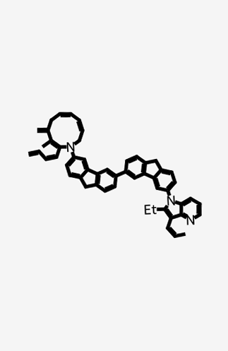 C=C/C=C\C1=C(/C)C(=C)C/C=C\C=C/CN1c1ccc2c(c1)-c1cc(-c3ccc4c(c3)-c3cc(-n5c(CC)c(/C=C\C)c6ncccc65)ccc3C4)ccc1C2